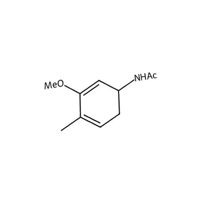 COC1=CC(NC(C)=O)CC=C1C